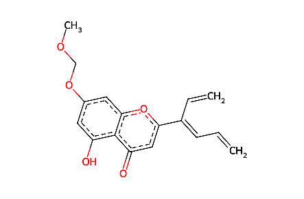 C=C/C=C(\C=C)c1cc(=O)c2c(O)cc(OCOC)cc2o1